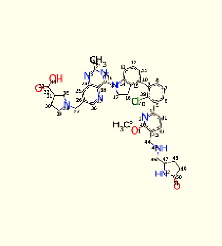 COc1nc(-c2cccc(-c3cccc4c3CCN4c3nc(C)nc4cc(CN5CCC(C(=O)O)C5)cnc34)c2Cl)ccc1CNCC1CCC(=O)N1